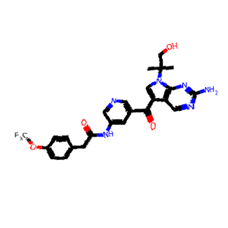 CC(C)(CO)n1cc(C(=O)c2cncc(NC(=O)Cc3ccc(OC(F)(F)F)cc3)c2)c2cnc(N)nc21